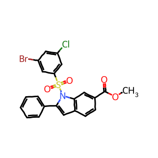 COC(=O)c1ccc2cc(-c3ccccc3)n(S(=O)(=O)c3cc(Cl)cc(Br)c3)c2c1